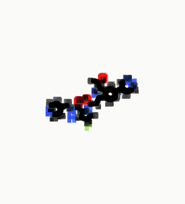 CC(=O)C1=NC(CC(=O)N2C[C@H](F)C[C@H]2C(=O)NCc2ccncc2)c2ccc(-c3ccnnc3)cc21